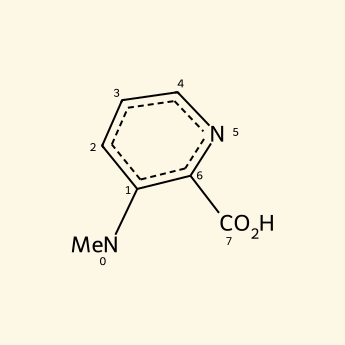 CNc1cccnc1C(=O)O